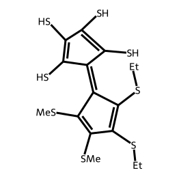 CCSC1=C(SCC)C(=C2C(S)=C(S)C(S)=C2S)C(SC)=C1SC